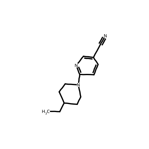 CCC1CCN(c2ccc(C#N)cn2)CC1